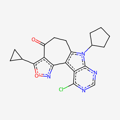 O=C1CCc2c(c3c(Cl)ncnc3n2C2CCCC2)-c2noc(C3CC3)c21